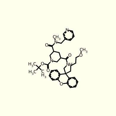 COCCCCC1(CNC(=O)C2CC(C(=O)N(C)Cc3cccnc3)CN(C(=O)OC(C)(C)C)C2)c2ccccc2Oc2ccccc21